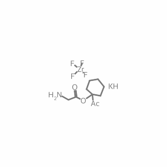 CC(=O)C1(OC(=O)CN)CCCCC1.[F][Zr]([F])([F])[F].[KH]